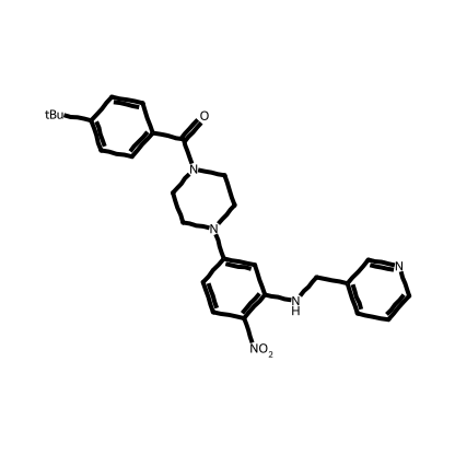 CC(C)(C)c1ccc(C(=O)N2CCN(c3ccc([N+](=O)[O-])c(NCc4cccnc4)c3)CC2)cc1